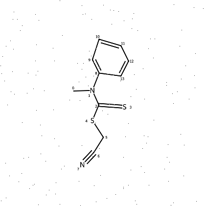 CN(C(=S)SCC#N)c1ccccc1